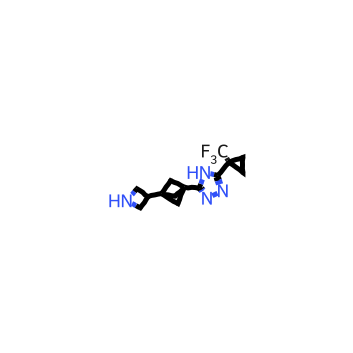 FC(F)(F)C1(c2nnc(C34CC(C5CNC5)(C3)C4)[nH]2)CC1